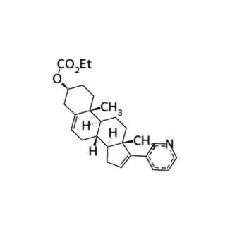 CCOC(=O)O[C@H]1CC[C@@]2(C)C(=CC[C@@H]3[C@@H]2CC[C@]2(C)C(c4cccnc4)=CC[C@@H]32)C1